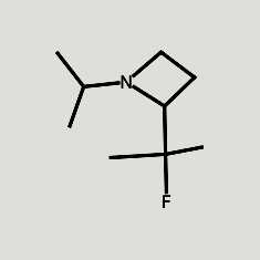 CC(C)N1CCC1C(C)(C)F